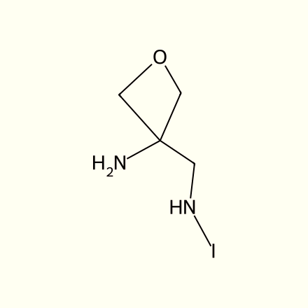 NC1(CNI)COC1